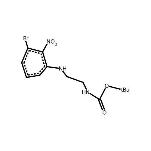 CC(C)(C)OC(=O)NCCNc1cccc(Br)c1[N+](=O)[O-]